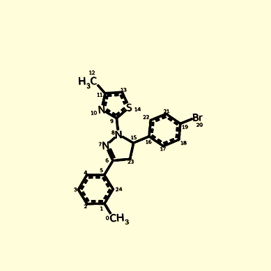 Cc1cccc(C2=NN(c3nc(C)cs3)C(c3ccc(Br)cc3)C2)c1